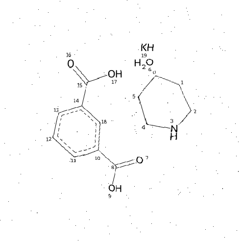 C1CCNCC1.O.O=C(O)c1cccc(C(=O)O)c1.[KH]